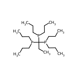 CCCP(CCC)C(CC)(P(CCC)CCC)P(CCC)CCC